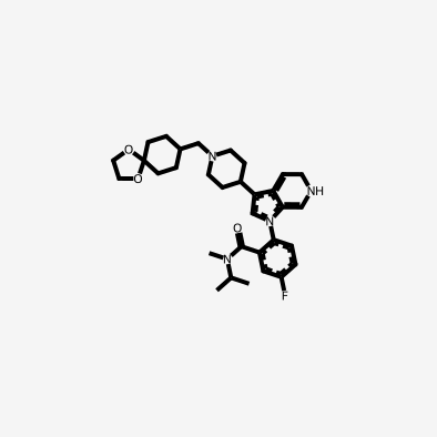 CC(C)N(C)C(=O)c1cc(F)ccc1-n1cc(C2CCN(CC3CCC4(CC3)OCCO4)CC2)c2c1=CNCC=2